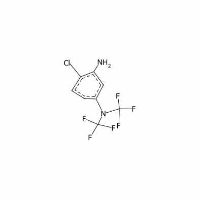 Nc1cc(N(C(F)(F)F)C(F)(F)F)ccc1Cl